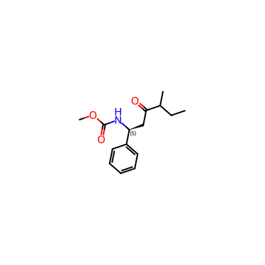 CCC(C)C(=O)C[C@H](NC(=O)OC)c1ccccc1